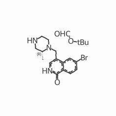 CC(C)(C)OC=O.C[C@@H]1CNCCN1Cc1c[nH]c(=O)c2ccc(Br)cc12